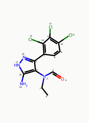 CCN(C=O)c1c(-c2ccc(Cl)c(Cl)c2Cl)n[nH]c1N